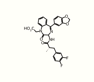 C[C@@H](Cc1ccc(F)c(F)c1)C(=O)NC1N=C(c2ccc3c(c2)OCO3)c2ccccc2N(CC(=O)O)C1=O